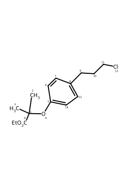 CCOC(=O)C(C)(C)Oc1ccc(CCCCl)cc1